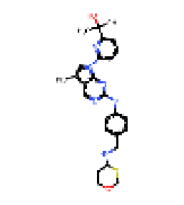 CC(C)(O)c1cccc(-n2cc(C#N)c3cnc(Nc4ccc(CN[C@H]5CCOCS5)cc4)nc32)n1